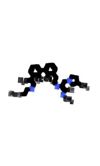 C=N/C(CC)=C(CN1CCC(C)C1)\N=C/Cc1cccc(-c2cccc(C(=C)/C=N\CCC(C)CCC)c2C)c1C